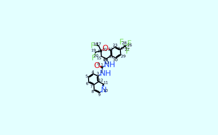 O=C(Nc1cccc2ccncc12)N[C@@H]1CC(CF)(CF)Oc2cc(C(F)(F)F)ccc21